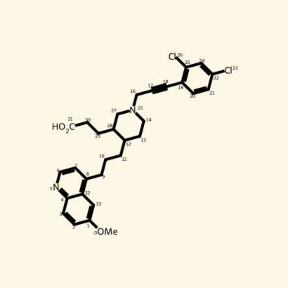 COc1ccc2nccc(CCCC3CCN(CC#Cc4ccc(Cl)cc4Cl)CC3CCC(=O)O)c2c1